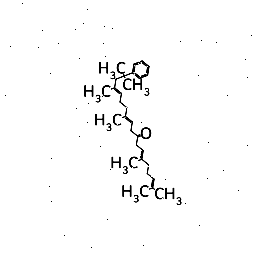 CC(C)=CCC/C(C)=C/CC(=O)C/C=C(\C)CCC=C(C)CC(C)(C)c1ccccc1